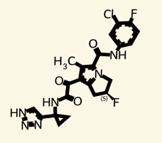 Cc1c(C(=O)C(=O)NC2(c3c[nH]nn3)CC2)c2n(c1C(=O)Nc1ccc(F)c(Cl)c1)C[C@@H](F)C2